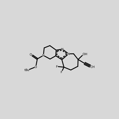 C#CC1(O)CCC(F)(F)c2c3c(nn2C1)CCN(C(=O)OC(C)(C)C)C3